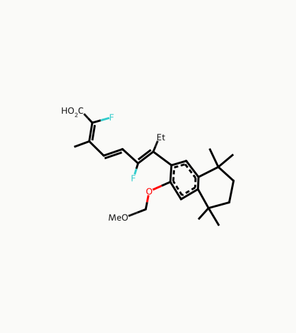 CCC(=C(F)C=CC(C)=C(F)C(=O)O)c1cc2c(cc1OCOC)C(C)(C)CCC2(C)C